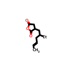 CC=CCC(CC)CC1CC(=O)OC1=O